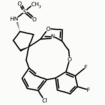 CS(=O)(=O)N[C@H]1CC[C@@]2(Cc3ccc(Cl)c(c3)-c3ccc(F)c(F)c3OCc3coc2n3)C1